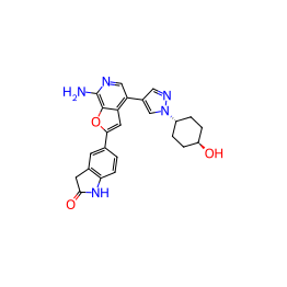 Nc1ncc(-c2cnn([C@H]3CC[C@H](O)CC3)c2)c2cc(-c3ccc4c(c3)CC(=O)N4)oc12